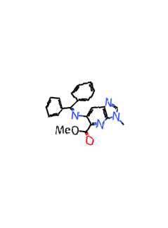 COC(=O)c1nc2c(cc1N=C(c1ccccc1)c1ccccc1)ncn2C